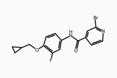 O=C(Nc1ccc(OCC2CC2)c(F)c1)c1ccnc(Br)c1